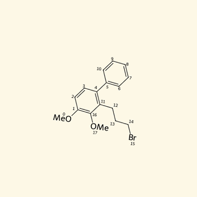 COc1ccc(-c2ccccc2)c(CCCBr)c1OC